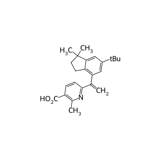 C=C(c1ccc(C(=O)O)c(C)n1)c1cc(C(C)(C)C)cc2c1CCC2(C)C